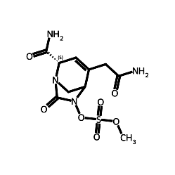 COS(=O)(=O)ON1C(=O)N2CC1C(CC(N)=O)=C[C@H]2C(N)=O